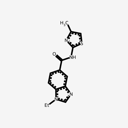 CCn1cnc2cc(C(=O)Nc3nc(C)cs3)ccc21